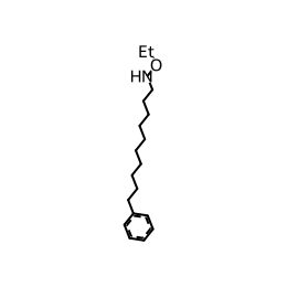 CCONCCCCCCCCCCc1ccccc1